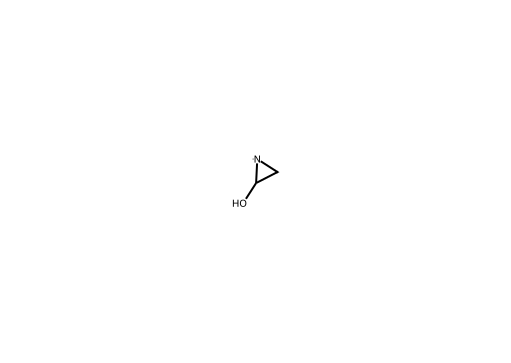 OC1C[N]1